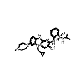 CC(C)NS(=O)(=O)c1ccccc1Nc1nc(Nc2ccc(N3CCN(C)CC3)cc2OCC2CC2)ncc1Cl